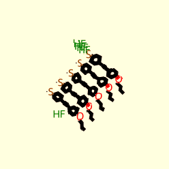 CCCCOc1ccc(C#Cc2ccc([S])cc2)cc1.CCCCOc1ccc(C#Cc2ccc([S])cc2)cc1.CCCCOc1ccc(C#Cc2ccc([S])cc2)cc1.CCCCOc1ccc(C#Cc2ccc([S])cc2)cc1.CCCCOc1ccc(C#Cc2ccc([S])cc2)cc1.F.F.F.F.F